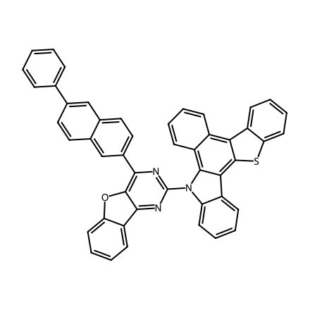 c1ccc(-c2ccc3cc(-c4nc(-n5c6ccccc6c6c7sc8ccccc8c7c7ccccc7c65)nc5c4oc4ccccc45)ccc3c2)cc1